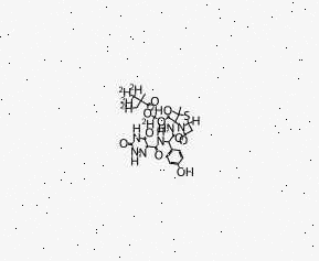 [2H]CC(C)(C(=O)OC([2H])([2H])OC(=O)[C@]1(NC(=O)C(NC(=O)c2n[nH]c(=O)[nH]c2=O)c2ccc(O)cc2)N2C(=O)C[C@H]2SC1(C)C)C([2H])([2H])[2H]